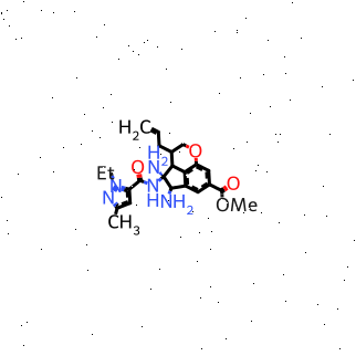 C=CCC1COc2cc(C(=O)OC)cc3c2C1[C@@](N)(NC(=O)c1cc(C)nn1CC)C3N